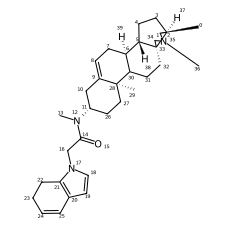 C[C@H]1[C@H]2CC[C@H]3[C@@H]4CC=C5C[C@@H](N(C)C(=O)Cn6ccc7c6CCC=C7)CC[C@]5(C)C4CC[C@]23CN1C